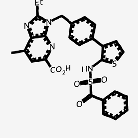 CCc1nc2c(C)cc(C(=O)O)nc2n1Cc1ccc(-c2ccsc2NS(=O)(=O)C(=O)c2ccccc2)cc1